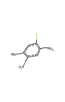 CC(C)(C)c1cc(F)c([N+](=O)[O-])cc1[N+](=O)[O-]